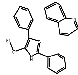 CCOc1[nH]c(-c2ccccc2)nc1-c1ccccc1.c1ccc2ncccc2c1